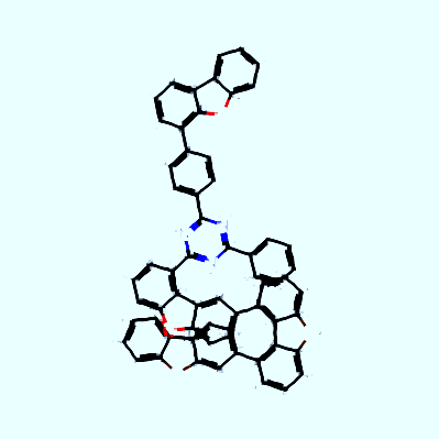 c1ccc(-c2nc(-c3ccc(-c4cccc5c4oc4ccccc45)cc3)nc(-c3cccc4oc5ccc(-c6cccc7sc8cccc(-c9ccc%10c(c9)sc9ccccc9%10)c8c67)cc5c34)n2)cc1